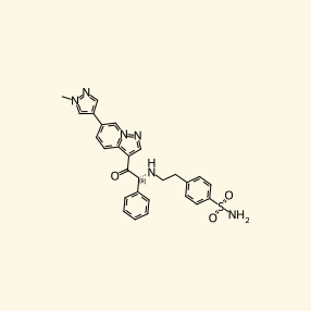 Cn1cc(-c2ccc3c(C(=O)[C@H](NCCc4ccc(S(N)(=O)=O)cc4)c4ccccc4)cnn3c2)cn1